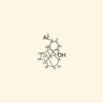 CC(=O)c1ccc(O)c(C23CCCC4CC(CC2C4)C3)c1